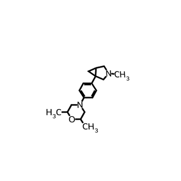 CC1CN(c2ccc(C34CC3CN(C)C4)cc2)CC(C)O1